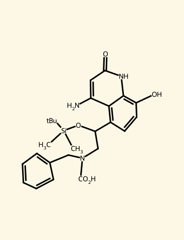 CC(C)(C)[Si](C)(C)OC(CN(Cc1ccccc1)C(=O)O)c1ccc(O)c2[nH]c(=O)cc(N)c12